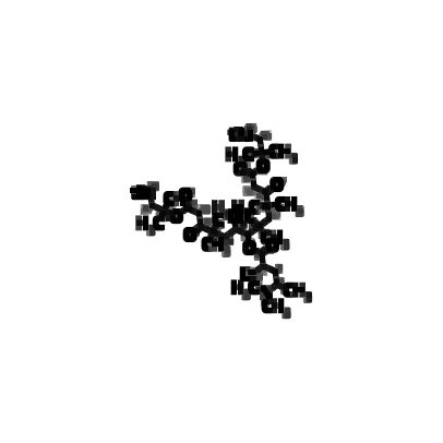 CCC(CC(C)N(C)C)C(=O)OC(C(C)CC(C)(C)C(=O)CC(=O)OC(C)(C)CC(C)(C)C)C(C)(C)CC(C)(C)C(=O)CC(=O)OC(C)(C)CC(C)(C)C